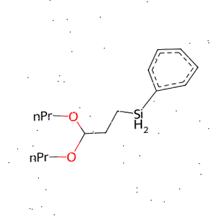 CCCOC(CC[SiH2]c1ccccc1)OCCC